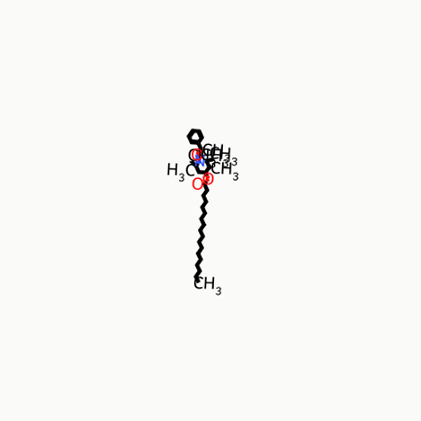 CCCCCCCCCCCCCCCCCC(=O)OC1CC(C)(CC)N(OC(C)c2ccccc2)C(C)(CC)C1C